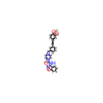 O=C(Nc1noc2ccccc12)N1CCN(Cc2cccc(C#Cc3ccc4c(c3)OCO4)c2)CC1